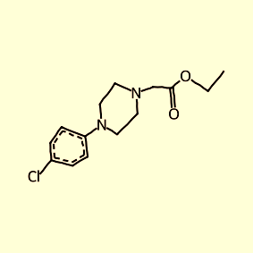 CCOC(=O)CN1CCN(c2ccc(Cl)cc2)CC1